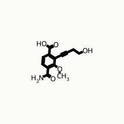 COc1c(C(N)=O)ccc(C(=O)O)c1C#CCCO